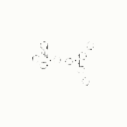 CC1(C)c2cc(-c3ccc(N(c4ccc(-c5ccccc5)cc4)c4ccc(-c5ccccc5)cc4)cc3)ccc2N(c2ccccc2)C2C1c1ccccc1N2c1ccccc1